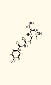 CC(C)(C)OC(=O)N[C@H](CO)CC(=O)NC(=O)c1ccc(Br)cc1